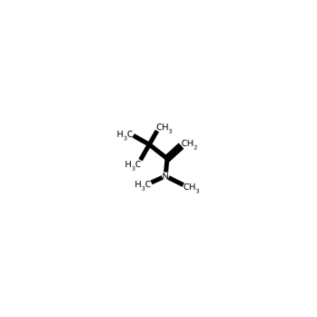 C=C(N(C)C)C(C)(C)C